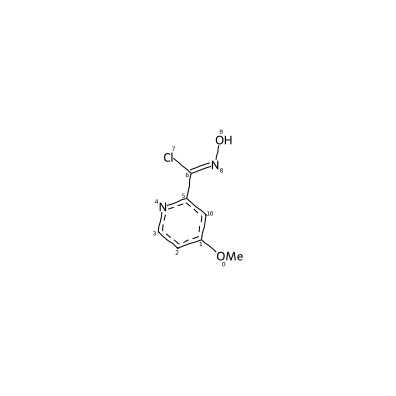 COc1ccnc(C(Cl)=NO)c1